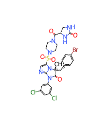 C[C@@]1(Cc2ccc(Br)cc2)C(=O)N(c2cc(Cl)cc(Cl)c2)c2ncc(S(=O)(=O)N3CCN(C(=O)C4CNC(=O)N4)CC3)n21